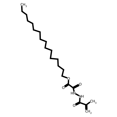 C=C(C)C(=O)NNC(=O)C(=O)OCCCCCCCCCCCCCCCC